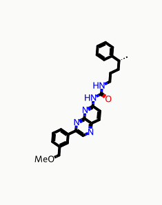 COCc1cccc(-c2cnc3ccc(NC(=O)NCCC[C@@H](C)c4ccccc4)nc3n2)c1